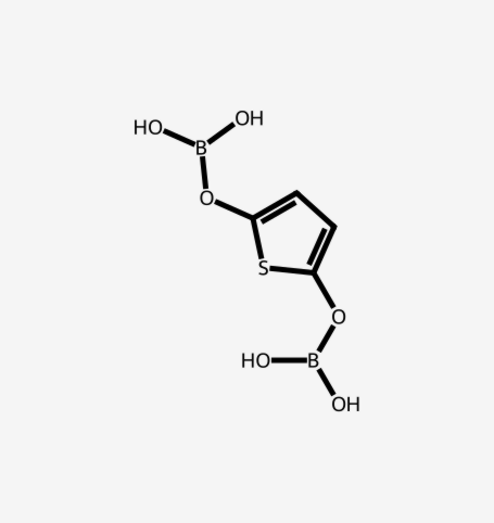 OB(O)Oc1ccc(OB(O)O)s1